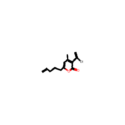 C=CCCCc1cc(C)c(C(=C)CC)c(=O)o1